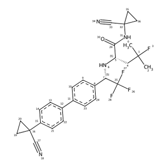 CC(C)(F)C[C@H](N[C@@H](c1ccc(-c2ccc(C3(C#N)CC3)cc2)cc1)C(F)(F)F)C(=O)NC1(C#N)CC1